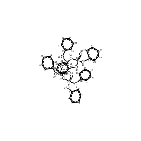 O=P(Oc1ccccc1)(Oc1ccccc1)OP(=O)(Oc1ccccc1)OP(=O)(Oc1ccccc1)OP(=O)(Oc1ccccc1)Oc1ccccc1